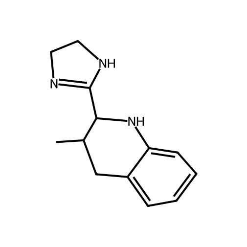 CC1Cc2ccccc2NC1C1=NCCN1